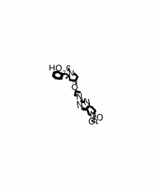 C[C@]1(Cc2ccccc2)C[C@H](COC2CN(c3ncc4c(n3)CCN(S(C)(=O)=O)C4)C2)CCN1C(=O)O